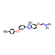 CCCCn1c(-c2cccc(Oc3ccc(C(C)(C)C)cc3)c2)nc2ccc(OCCN(C(C)C)C(C)C)cc21